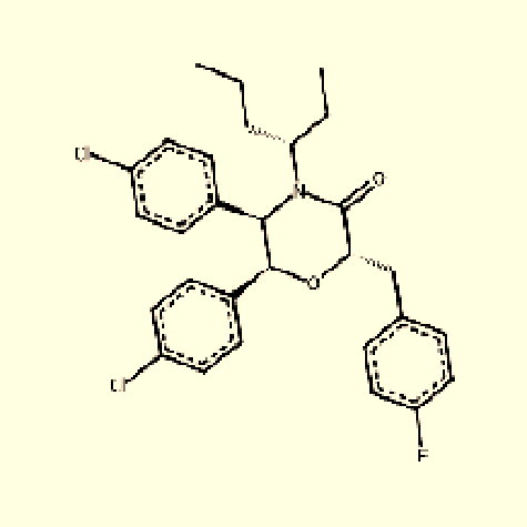 CCC[C@H](CC)N1C(=O)[C@H](Cc2ccc(F)cc2)O[C@@H](c2ccc(Cl)cc2)[C@H]1c1ccc(Cl)cc1